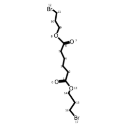 O=C(CCCCC(=O)OCCCBr)OCCCBr